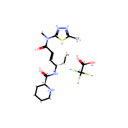 CC(C)C[C@@H](C=CC(=O)N(C)c1nnc(C(F)(F)F)s1)NC(=O)[C@@H]1CCCCN1.O=C(O)C(F)(F)F